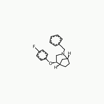 Fc1ccc(O[C@H]2CN(Cc3ccccc3)[C@@H]3CC[C@H]2C3)cc1